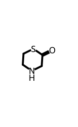 O=C1CNCCS1